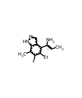 C/C=C(\N)c1c(CC)c(F)c(C)c2[nH]ncc12